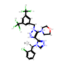 C[C@H](c1ccccc1Cl)n1cnnc1-c1nnn(Cc2cc(C(F)(F)F)cc(C(F)(F)F)c2)c1N1CCOCC1